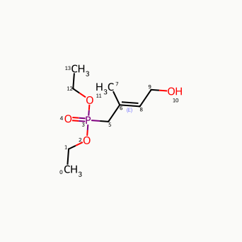 CCOP(=O)(C/C(C)=C/CO)OCC